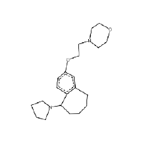 c1cc2c(cc1OCCN1CCOCC1)CCCCC2N1CCCC1